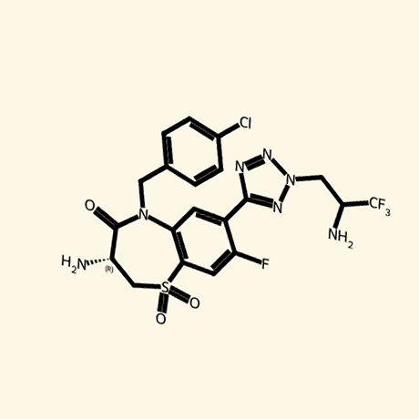 NC(Cn1nnc(-c2cc3c(cc2F)S(=O)(=O)C[C@H](N)C(=O)N3Cc2ccc(Cl)cc2)n1)C(F)(F)F